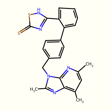 Cc1cc(C)c2nc(C)n(Cc3ccc(-c4ccccc4-c4nc(=S)s[nH]4)cc3)c2n1